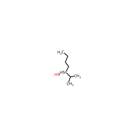 CCC[CH2][SnH]([OH])[CH](C)C